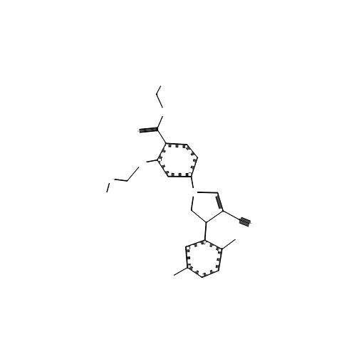 CCOC(=O)c1ccc(N2C=C(C#N)C(c3cc(F)ccc3F)C2)cc1OCOC